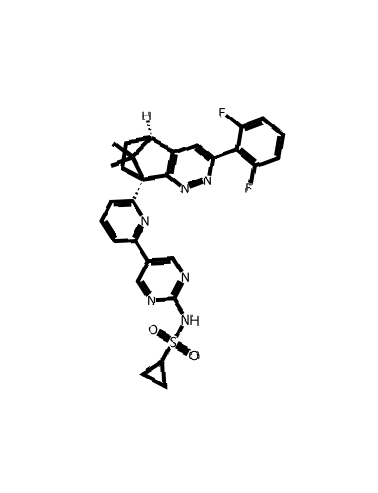 CC1(C)[C@H]2CC[C@]1(c1cccc(-c3cnc(NS(=O)(=O)C4CC4)nc3)n1)c1nnc(-c3c(F)cccc3F)cc12